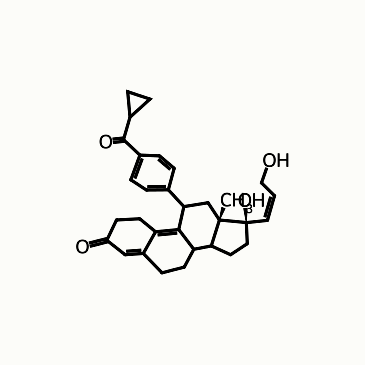 C[C@]12CC(c3ccc(C(=O)C4CC4)cc3)C3=C4CCC(=O)C=C4CCC3C1CC[C@@]2(O)/C=C\CO